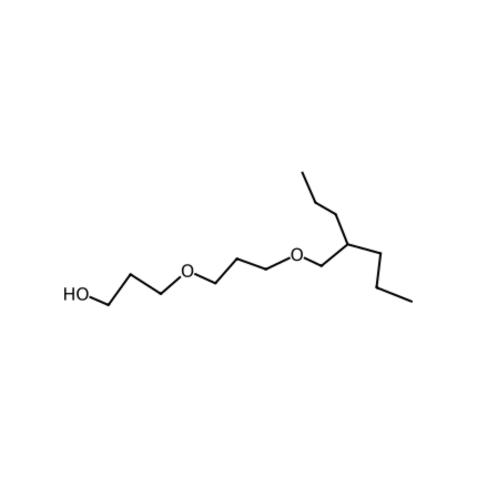 CCCC(CCC)COCCCOCCCO